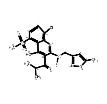 Cc1cc(C[S+]([O-])c2nc3c(Cl)ccc(S(C)(=O)=O)c3c(O)c2C(=O)C(C)C)no1